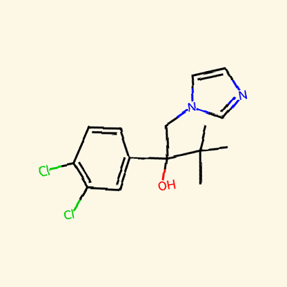 CC(C)(C)C(O)(Cn1ccnc1)c1ccc(Cl)c(Cl)c1